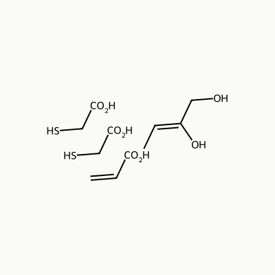 C=CC(=O)O.CC=C(O)CO.O=C(O)CS.O=C(O)CS